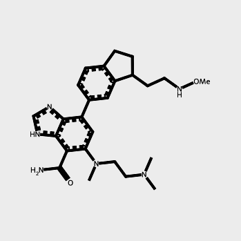 CONCCC1CCc2ccc(-c3cc(N(C)CCN(C)C)c(C(N)=O)c4[nH]cnc34)cc21